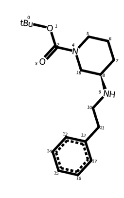 CC(C)(C)OC(=O)N1CCC[C@@H](NCCc2ccccc2)C1